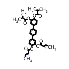 C=C(C)C(=O)Oc1ccc(-c2ccc(-c3ccc(OC(=O)/C=C/C)c(OC(=O)/C=C/C)c3)cc2)cc1OC(=O)C(=C)C